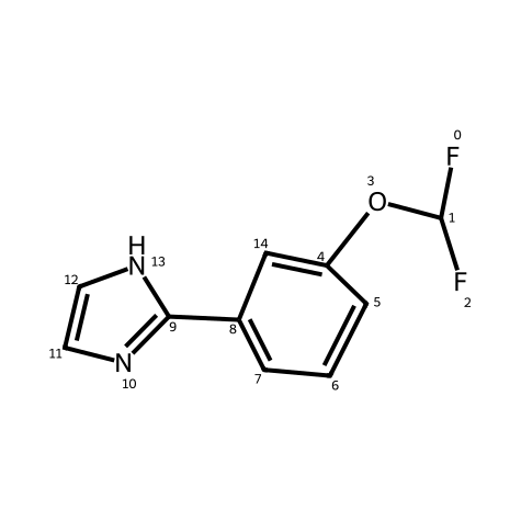 FC(F)Oc1cccc(-c2ncc[nH]2)c1